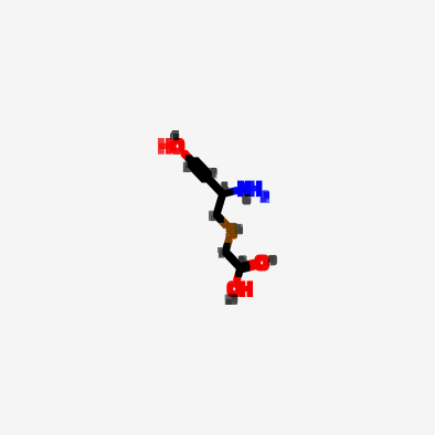 NC(C#CO)CSCC(=O)O